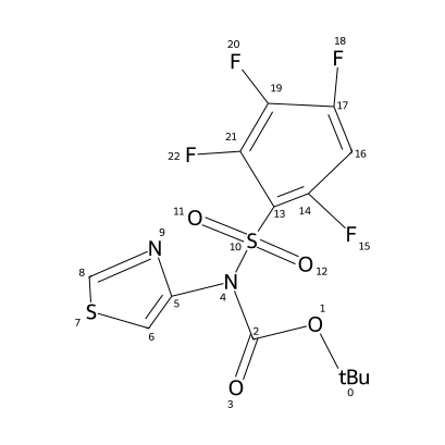 CC(C)(C)OC(=O)N(c1cscn1)S(=O)(=O)c1c(F)cc(F)c(F)c1F